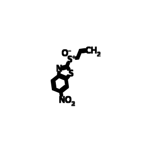 C=CC[S+]([O-])c1nc2ccc([N+](=O)[O-])cc2s1